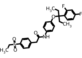 CCC(CC)(Oc1ccc(NC(=O)Cc2ccc(S(=O)(=O)CC)cc2)cc1)c1ccc(F)cc1F